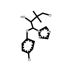 CC(C)(CCl)C(O)C(Oc1ccc(Cl)cc1)n1cncn1